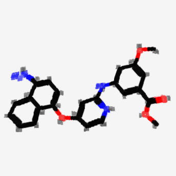 COC(=O)c1cc(Nc2cc(Oc3ccc(N)c4ccccc34)ccn2)cc(OC)c1